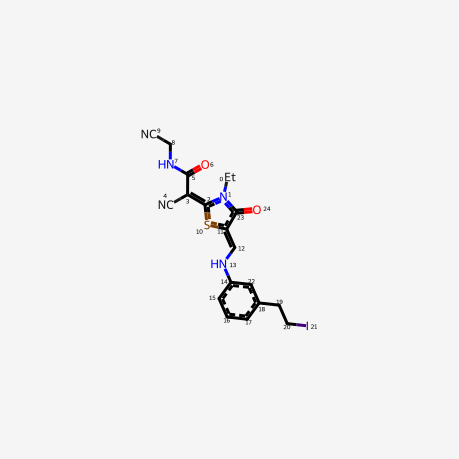 CCn1c(=C(C#N)C(=O)NCC#N)sc(=CNc2cccc(CCI)c2)c1=O